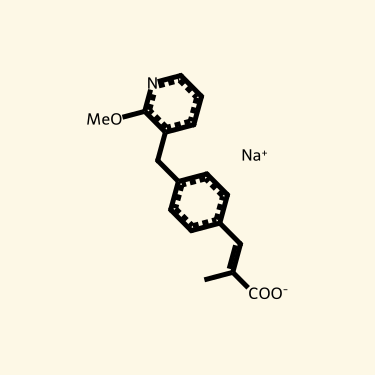 COc1ncccc1Cc1ccc(/C=C(\C)C(=O)[O-])cc1.[Na+]